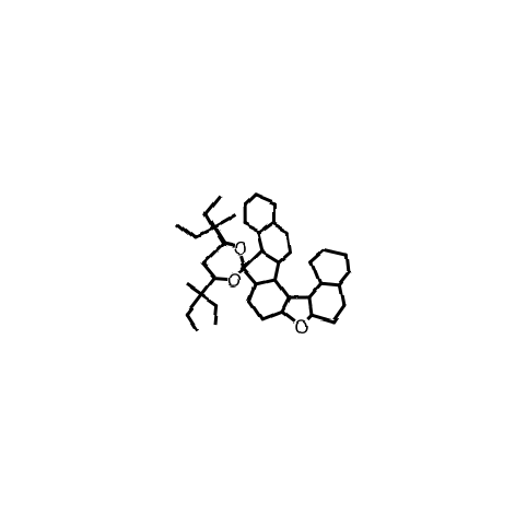 CCC(C)(CC)C1CC(C(C)(CC)CC)OC2(O1)C1CCC3OC4CCC5CCCCC5C4C3C1C1CCC3CCCCC3C12